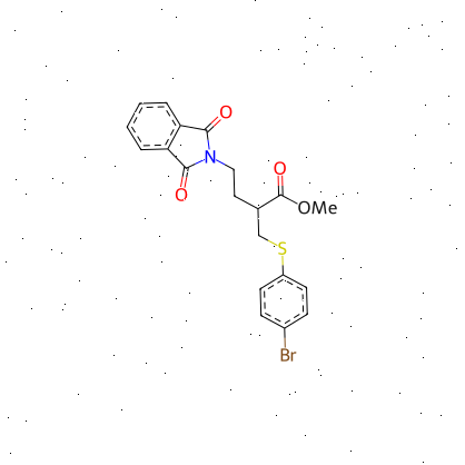 COC(=O)C(CCN1C(=O)c2ccccc2C1=O)CSc1ccc(Br)cc1